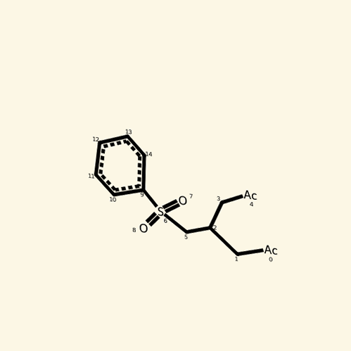 CC(=O)CC(CC(C)=O)CS(=O)(=O)c1ccccc1